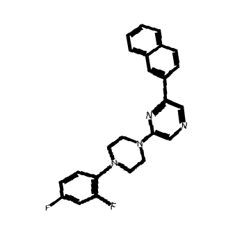 Fc1ccc(N2CCN(c3cncc(-c4ccc5ccccc5c4)n3)CC2)c(F)c1